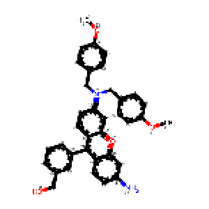 COc1ccc(C[N+](Cc2ccc(OC)cc2)=c2ccc3c(-c4cccc(CO)c4)c4ccc(N)cc4oc-3c2)cc1